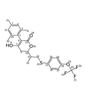 Cc1cc(C)c(C2=C(O)CC(C(C)CSc3ccc(OC(F)(F)F)cc3)OC2=O)c(C)c1